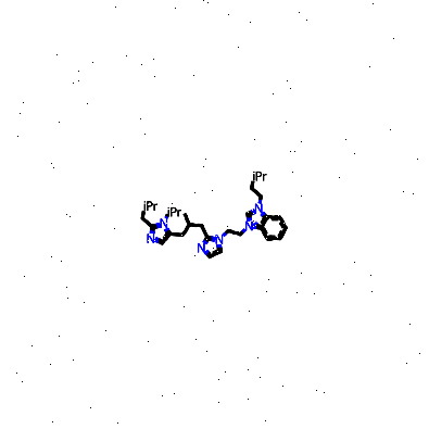 CC(C)CCn1c[n+](CCn2ccnc2CC(C)Cc2cnc(CC(C)C)n2C(C)C)c2ccccc21